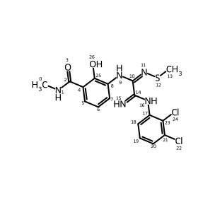 CNC(=O)c1cccc(N/C(=N/SC)C(=N)Nc2cccc(Cl)c2Cl)c1O